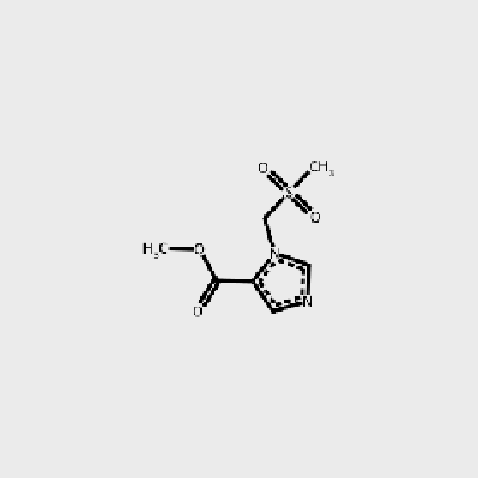 COC(=O)c1cncn1CS(C)(=O)=O